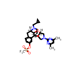 Cc1cc(C)nc(N2C[C@H]3O[C@@]45CCC2C3[C@@]42CCN(CC3CC3)[C@@H]5Cc3ccc(OS(=O)(=O)C(F)(F)F)cc32)n1